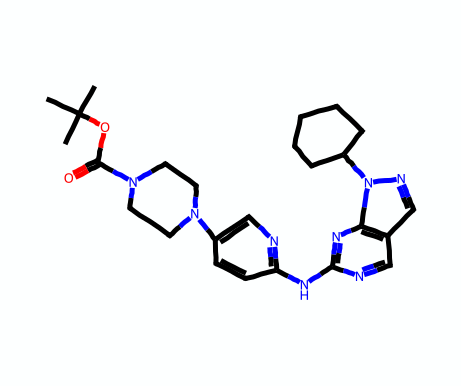 CC(C)(C)OC(=O)N1CCN(c2ccc(Nc3ncc4cnn(C5CCCCC5)c4n3)nc2)CC1